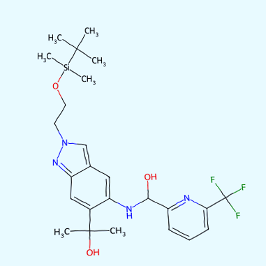 CC(C)(O)c1cc2nn(CCO[Si](C)(C)C(C)(C)C)cc2cc1NC(O)c1cccc(C(F)(F)F)n1